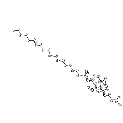 CCCCC/C=C/CCCCCCCCCCCCC(=O)O[C@@H]1CC[C@]2(CO2)[C@@H](C(C)(C)OCC=C(C)C)[C@@H]1OC